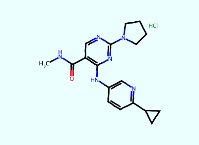 CNC(=O)c1cnc(N2CCCC2)nc1Nc1ccc(C2CC2)nc1.Cl